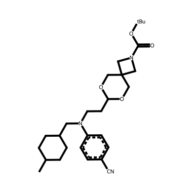 CC1CCC(CN(CCC2OCC3(CO2)CN(C(=O)OC(C)(C)C)C3)c2ccc(C#N)cc2)CC1